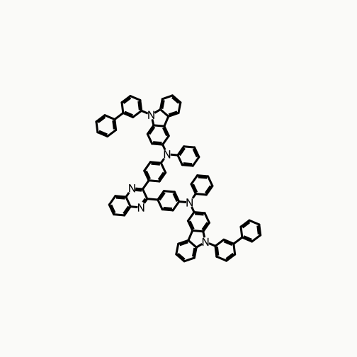 c1ccc(-c2cccc(-n3c4ccccc4c4cc(N(c5ccccc5)c5ccc(-c6nc7ccccc7nc6-c6ccc(N(c7ccccc7)c7ccc8c(c7)c7ccccc7n8-c7cccc(-c8ccccc8)c7)cc6)cc5)ccc43)c2)cc1